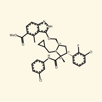 COC(=O)c1ccc2n[nH]c(OC[C@H]3C[C@H](c4cccc(Cl)c4F)[C@](C)(C(=O)Nc4cccc(Cl)c4)N3CC3CC3)c2c1C